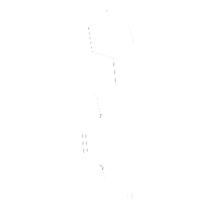 COC(=O)/C=C\C(=O)NCC1CCCCC1